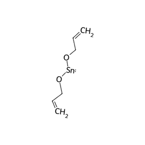 C=CC[O][Sn][O]CC=C